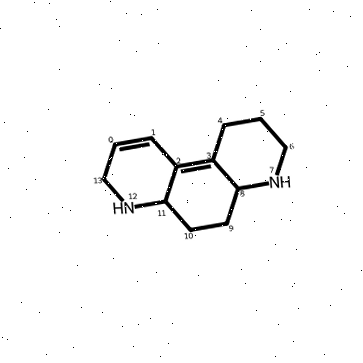 C1=CC2=C3CCCNC3CCC2NC1